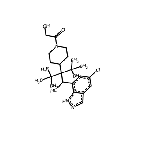 BC(B)(B)C(C1CCN(C(=O)CO)CC1)(C(O)c1cc(Cl)cc2cn[nH]c12)C(B)(B)B